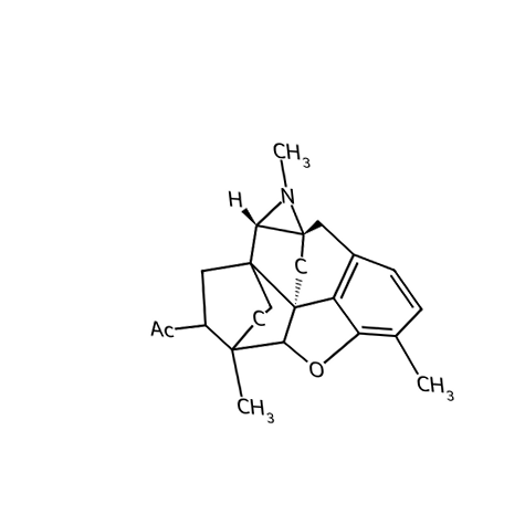 CC(=O)C1CC23CCC1(C)C1Oc4c(C)ccc5c4[C@@]12C[C@]1(C5)[C@H]3N1C